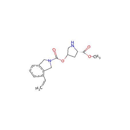 C=Cc1cccc2c1CN(C(=O)OC1CN[C@H](C(=O)OC)C1)C2